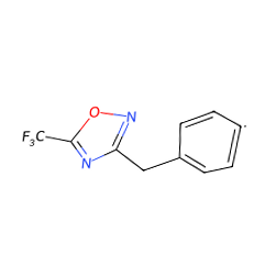 FC(F)(F)c1nc(Cc2cc[c]cc2)no1